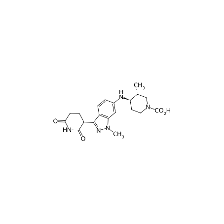 C[C@@H]1CN(C(=O)O)CC[C@H]1Nc1ccc2c(C3CCC(=O)NC3=O)nn(C)c2c1